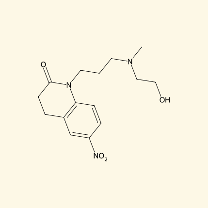 CN(CCO)CCCN1C(=O)CCc2cc([N+](=O)[O-])ccc21